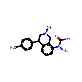 CCCCN(C(N)=O)c1cccc2c1CN(C)CC2c1ccc(C)cc1